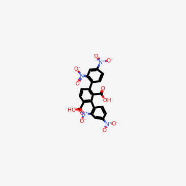 O=C(O)c1ccc(-c2ccc([N+](=O)[O-])cc2[N+](=O)[O-])c(C(=O)O)c1-c1ccc([N+](=O)[O-])cc1[N+](=O)[O-]